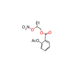 CCC(COC(=O)c1ccccc1OC(C)=O)O[N+](=O)[O-]